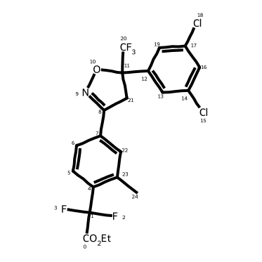 CCOC(=O)C(F)(F)c1ccc(C2=NOC(c3cc(Cl)cc(Cl)c3)(C(F)(F)F)C2)cc1C